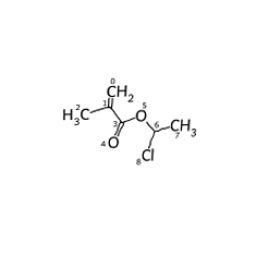 C=C(C)C(=O)OC(C)Cl